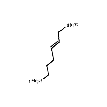 [CH2]CCCCCCC/C=C/CCCCCCCCC[CH2]